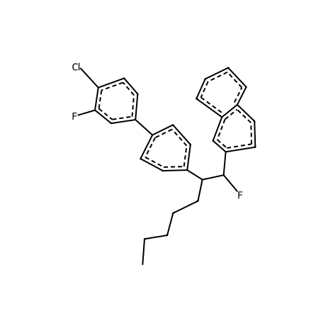 CCCCCC(c1ccc(-c2ccc(Cl)c(F)c2)cc1)C(F)c1ccc2ccccc2c1